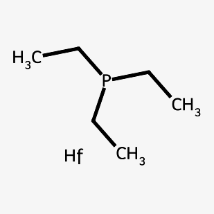 CCP(CC)CC.[Hf]